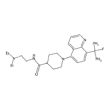 CCN(CC)CCNC(=O)C1CCN(c2ccc(C(F)(P)P)c3ncccc23)CC1